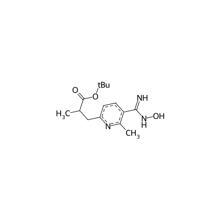 Cc1nc(CC(C)C(=O)OC(C)(C)C)ccc1C(=N)NO